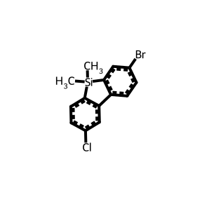 C[Si]1(C)c2ccc(Cl)cc2-c2ccc(Br)cc21